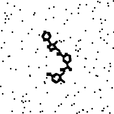 Cc1ccc(C#N)cc1CNC(=O)c1ccnc(NCc2nnc(-c3ccncn3)n2C)c1